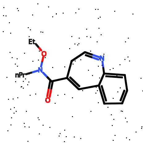 CCCN(OCC)C(=O)C1=Cc2ccccc2N=CC1